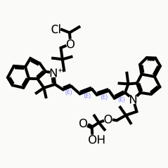 CC(Cl)OCC(C)(C)C[N+]1=C(/C=C/C=C/C=C/C=C2/N(CC(C)(C)COC(C)(C)C(=O)O)c3ccc4ccccc4c3C2(C)C)C(C)(C)c2c1ccc1ccccc21